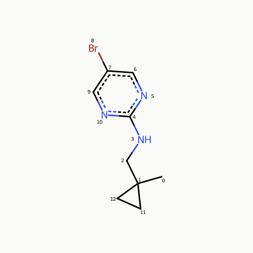 CC1(CNc2ncc(Br)cn2)CC1